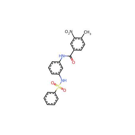 Cc1ccc(C(=O)Nc2cccc(NS(=O)(=O)c3ccccc3)c2)cc1[N+](=O)[O-]